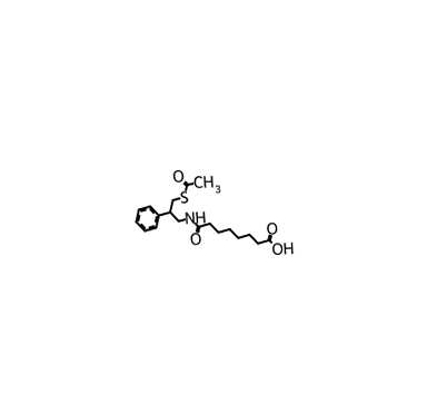 CC(=O)SCC(CNC(=O)CCCCCCC(=O)O)c1ccccc1